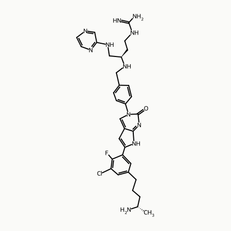 C[C@H](N)CCCc1cc(Cl)c(F)c(-c2cc3cn(-c4ccc(CN[C@H](CCNC(=N)N)CNc5cnccn5)cc4)c(=O)nc3[nH]2)c1